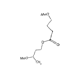 COCCCC(=O)OCCC(C)OC